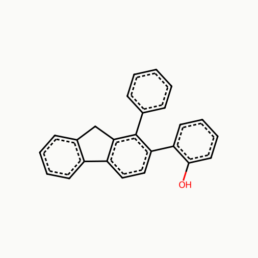 Oc1ccccc1-c1ccc2c(c1-c1ccccc1)Cc1ccccc1-2